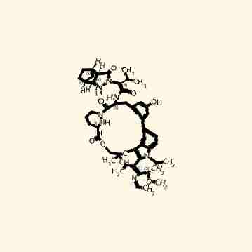 C=C/C(=C(\N=C/C)[C@H](C)OC)c1c2c3cc(ccc3n1CC)-c1cc(O)cc(c1)C[C@H](NC(=O)[C@H](C(C)C)N1N[C@H]3[C@@H]4CC[C@@H](C4)[C@H]3C1=O)C(=O)N1CCC[C@H](N1)C(=O)OCC(C)(C)C2